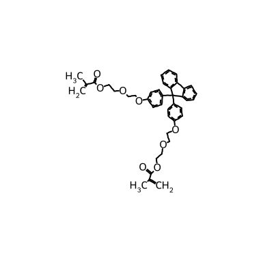 C=C(C)C(=O)OCCOCCOc1ccc(C2(c3ccc(OCCOCCOC(=O)C(=C)C)cc3)c3ccccc3-c3ccccc32)cc1